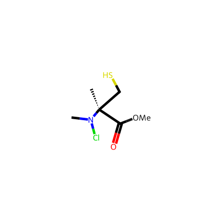 COC(=O)[C@](C)(CS)N(C)Cl